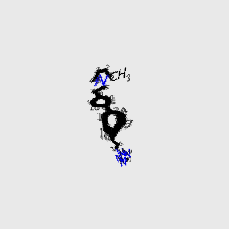 CC1CCCN1CCc1ccc(-c2ccc(CCn3ncnn3)cc2)cc1